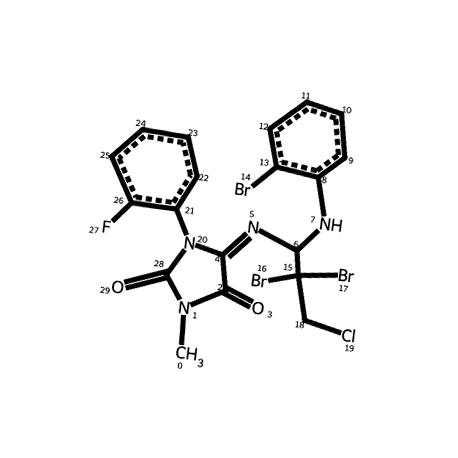 CN1C(=O)C(=NC(Nc2ccccc2Br)C(Br)(Br)CCl)N(c2ccccc2F)C1=O